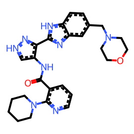 O=C(Nc1c[nH]nc1-c1nc2cc(CN3CCOCC3)ccc2[nH]1)c1cccnc1N1CCCCC1